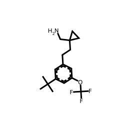 CC(C)(C)c1cc(CCC2(CN)CC2)cc(OC(F)(F)F)c1